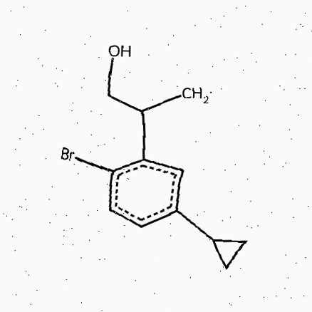 [CH2]C(CO)c1cc(C2CC2)ccc1Br